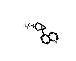 CN1CC2CC2(c2cccc3ncccc23)C1